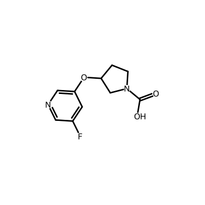 O=C(O)N1CCC(Oc2cncc(F)c2)C1